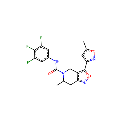 Cc1cc(-c2onc3c2CN(C(=O)Nc2cc(F)c(F)c(F)c2)C(C)C3)no1